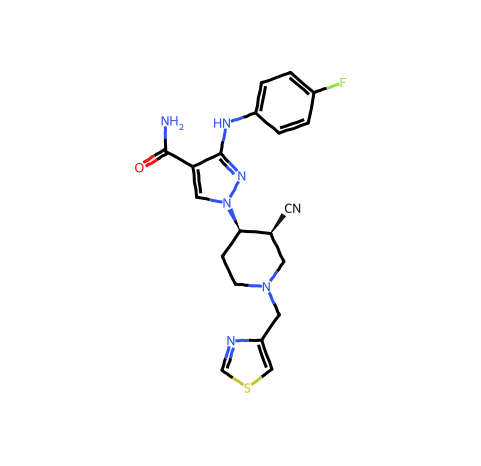 N#C[C@H]1CN(Cc2cscn2)CC[C@H]1n1cc(C(N)=O)c(Nc2ccc(F)cc2)n1